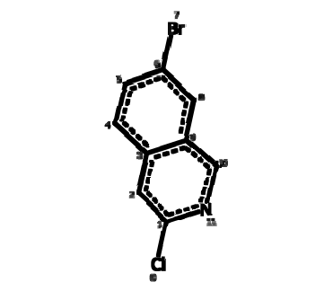 Clc1cc2ccc(Br)cc2[c]n1